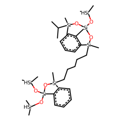 CC(C)[Si](C)(C)O[Si](O[SiH](C)C)(O[Si](C)(C)CCCCC[Si](C)(C)O[Si](O[SiH](C)C)(O[SiH](C)C)c1ccccc1)c1ccccc1